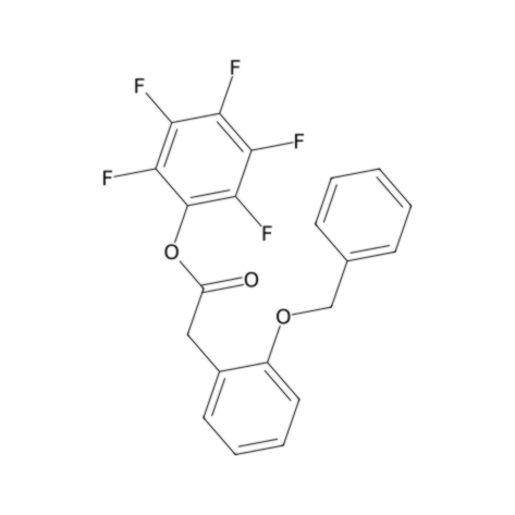 O=C(Cc1ccccc1OCc1ccccc1)Oc1c(F)c(F)c(F)c(F)c1F